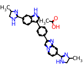 CC(=O)O.CC1CNC(c2ccc3c(-c4ccc(-c5cn6ccc(C7=NC(C)CN7)cc6n5)cc4)c[nH]c3c2)=N1